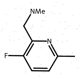 CNCc1nc(C)ccc1F